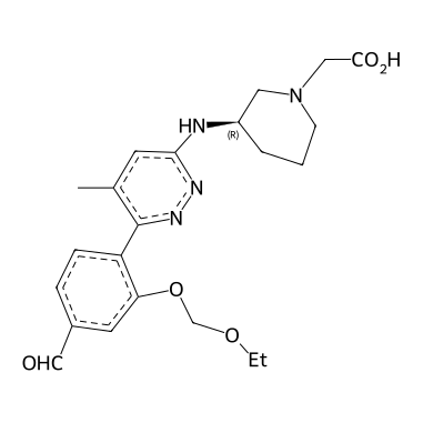 CCOCOc1cc(C=O)ccc1-c1nnc(N[C@@H]2CCCN(CC(=O)O)C2)cc1C